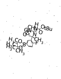 CN1C(NC(=O)OC(C)(C)C)=N[C@](C)(c2cc(B3OC(C)(C)C(C)(C)O3)ccc2F)CS1(=O)=O